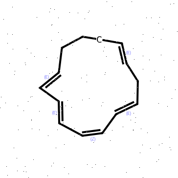 [CH]1/C=C/C/C=C/C=C\C=C\C=C\CC1